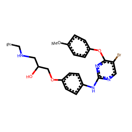 COc1ccc(Oc2nc(Nc3ccc(OCC(O)CNCC(C)C)cc3)ncc2Br)cc1